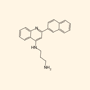 NCCCNc1cc(-c2ccc3ccccc3c2)nc2ccccc12